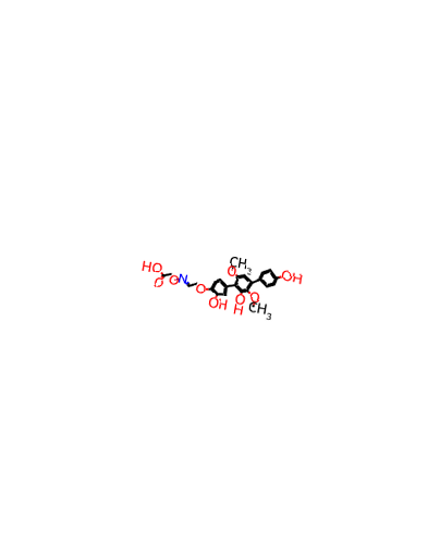 COc1cc(-c2ccc(O)cc2)c(OC)c(O)c1-c1ccc(OC/C=N/OCC(=O)O)c(O)c1